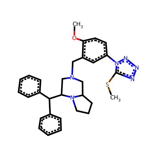 COc1ccc(-n2nnnc2SC)cc1CN1CC2CCCN2C(C(c2ccccc2)c2ccccc2)C1